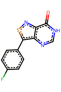 O=c1[nH]cnc2c(-c3ccc(F)cc3)snc12